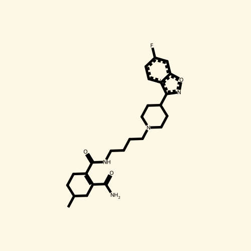 CC1CCC(C(=O)NCCCCN2CCC(c3noc4cc(F)ccc34)CC2)=C(C(N)=O)C1